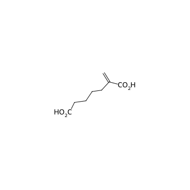 C=C(CCCCC(=O)O)C(=O)O